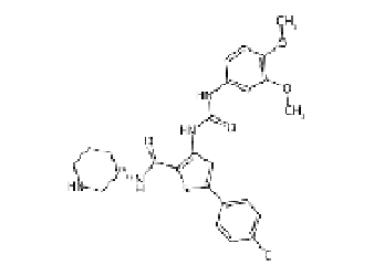 COc1ccc(NC(=O)Nc2cc(-c3ccc(Cl)cc3)sc2C(=O)N[C@H]2CCCNC2)cc1OC